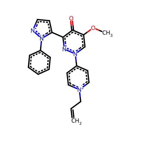 C=CC[n+]1ccc(-n2cc(OC)c(=O)c(-c3ccnn3-c3ccccc3)n2)cc1